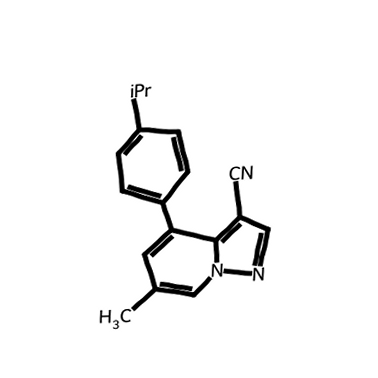 Cc1cc(-c2ccc(C(C)C)cc2)c2c(C#N)cnn2c1